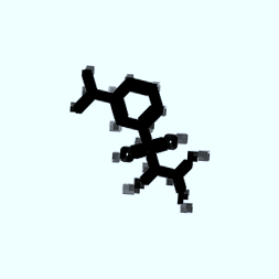 CC(C)c1cccc(S(=O)(=O)C(F)C(F)F)c1